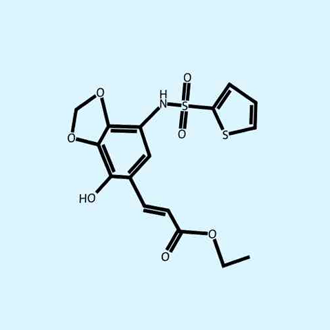 CCOC(=O)/C=C/c1cc(NS(=O)(=O)c2cccs2)c2c(c1O)OCO2